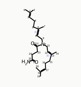 CC(C)=CCC/C(C)=C/CN(C/C=C(\C)CCC=C(C)C)C(=O)CCC(N)=O